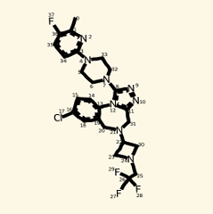 Cc1nc(N2CCN(c3nnc4n3-c3ccc(Cl)cc3CN(C3CN(CC(F)(F)F)C3)C4)CC2)ccc1F